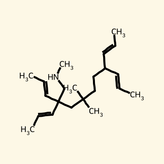 CC=CC(C=CC)CCC(C)(C)CC(C=CC)(C=CC)CNC